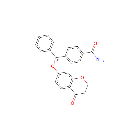 NC(=O)c1ccc([C@H](Oc2ccc3c(c2)OCCC3=O)c2ccccc2)cc1